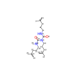 C=C(C)CCCNC(=O)N(CCCC(=C)C)C(=O)N(C)CCCC(=C)C